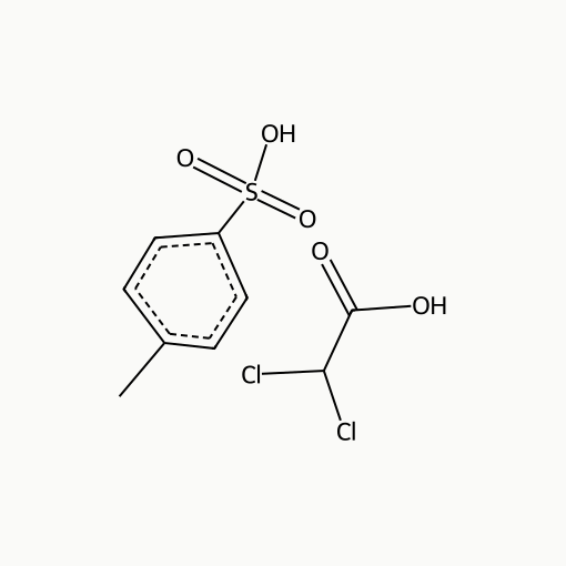 Cc1ccc(S(=O)(=O)O)cc1.O=C(O)C(Cl)Cl